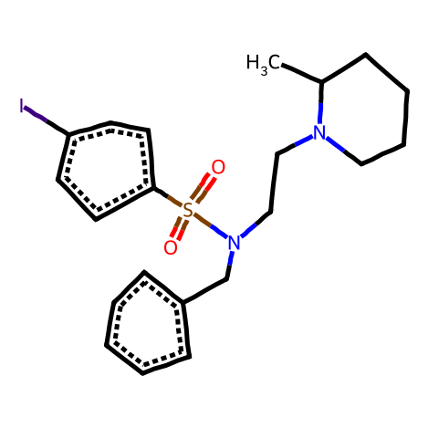 CC1CCCCN1CCN(Cc1ccccc1)S(=O)(=O)c1ccc(I)cc1